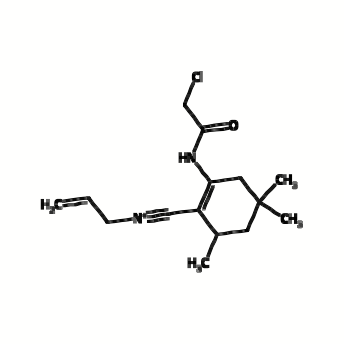 C=CC[N+]#CC1=C(NC(=O)CCl)CC(C)(C)CC1C